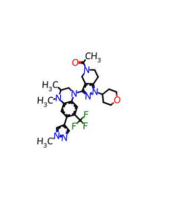 CC(=O)N1CCc2c(c(N3CC(C)N(C)c4cc(-c5cnn(C)c5)c(C(F)(F)F)cc43)nn2C2CCOCC2)C1